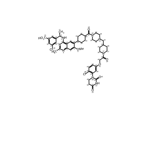 COc1cc2nc(C)nc(N[C@H](C)c3cc(C(=O)O)cc(C(F)(F)F)c3)c2cc1C1CCC(C(=O)N2CCN(CC3CCN(C(=O)COc4ccc(Cl)c(N5CCC(=O)NC5=O)c4)CC3)CC2)CC1